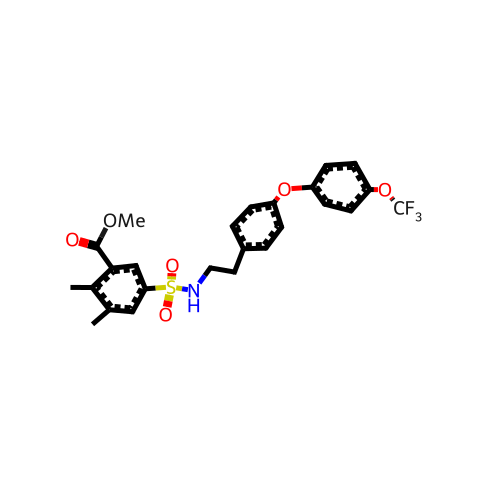 COC(=O)c1cc(S(=O)(=O)NCCc2ccc(Oc3ccc(OC(F)(F)F)cc3)cc2)cc(C)c1C